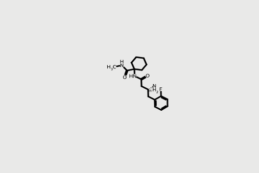 CNC(=O)C1(NC(=O)C[C@H](N)Cc2ccccc2F)CCCCC1